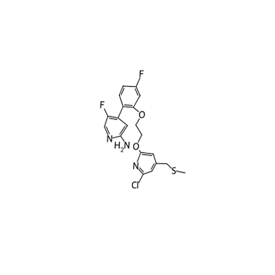 CSCc1cc(Cl)nc(OCCOc2cc(F)ccc2-c2cc(N)ncc2F)c1